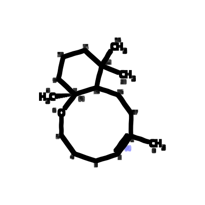 C/C1=C/CCCO[C@@]2(C)CCCC(C)(C)C2CC1